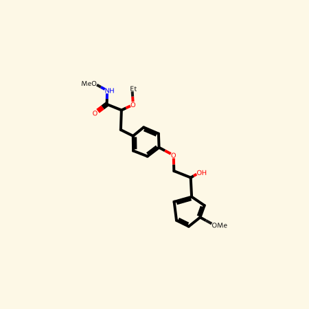 CCOC(Cc1ccc(OCC(O)c2cccc(OC)c2)cc1)C(=O)NOC